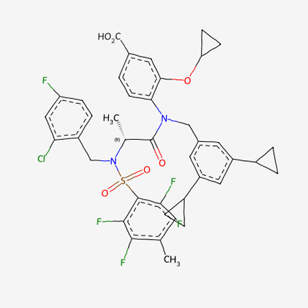 Cc1c(F)c(F)c(S(=O)(=O)N(Cc2ccc(F)cc2Cl)[C@H](C)C(=O)N(Cc2cc(C3CC3)cc(C3CC3)c2)c2ccc(C(=O)O)cc2OC2CC2)c(F)c1F